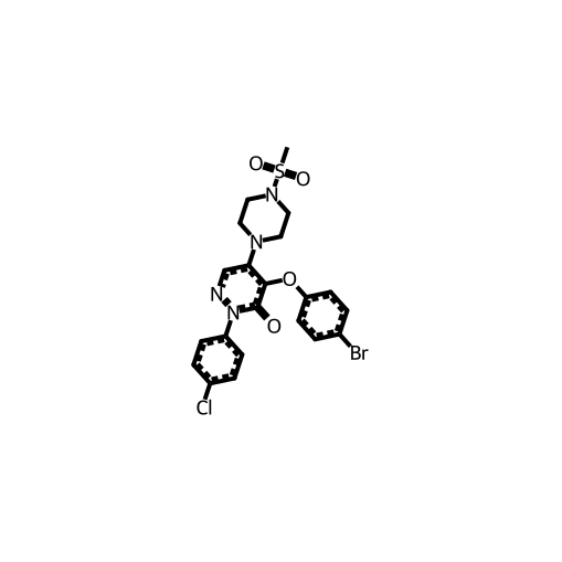 CS(=O)(=O)N1CCN(c2cnn(-c3ccc(Cl)cc3)c(=O)c2Oc2ccc(Br)cc2)CC1